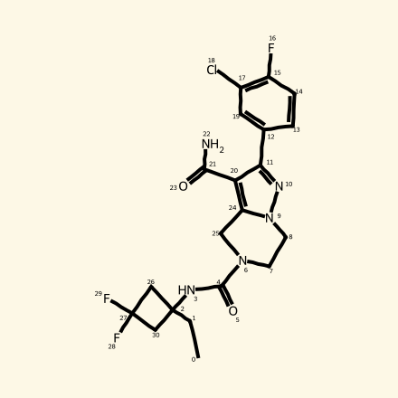 CCC1(NC(=O)N2CCn3nc(-c4ccc(F)c(Cl)c4)c(C(N)=O)c3C2)CC(F)(F)C1